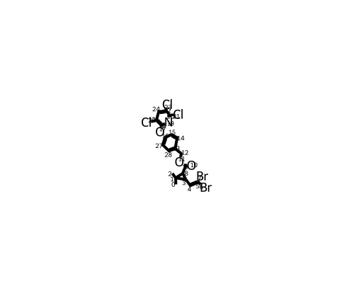 CC1(C)C(C=C(Br)Br)C1C(=O)OCc1ccc(Oc2nc(Cl)c(Cl)cc2Cl)cc1